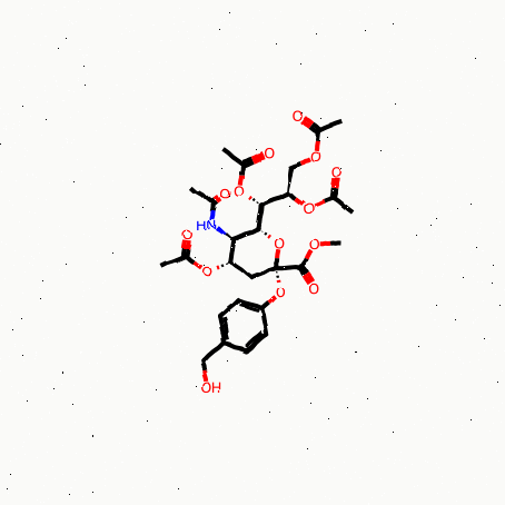 COC(=O)[C@@]1(Oc2ccc(CO)cc2)C[C@H](OC(C)=O)[C@@H](NC(C)=O)[C@H]([C@H](OC(C)=O)[C@@H](COC(C)=O)OC(C)=O)O1